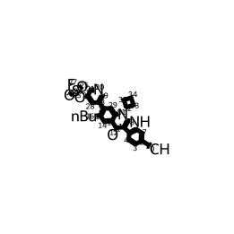 C#Cc1ccc2c(c1)[nH]c1c2c(=O)c2cc(CCCC)c(-c3cncc(OS(=O)(=O)F)c3)cc2n1C1CCC1